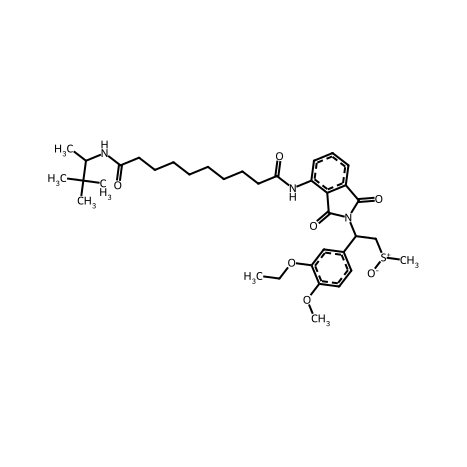 CCOc1cc(C(C[S+](C)[O-])N2C(=O)c3cccc(NC(=O)CCCCCCCCC(=O)NC(C)C(C)(C)C)c3C2=O)ccc1OC